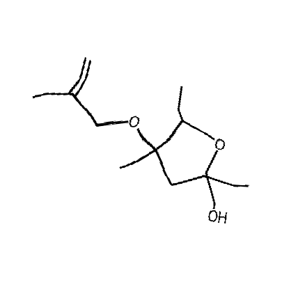 C=C(C)COC1(C)CC(C)(O)OC1C